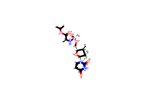 CC(C)OC(=O)[C@H](C)N[P@@](C)(=O)OC[C@H]1O[C@@H](n2ccc(=O)[nH]c2=O)[C@](C)(F)[C@@H]1C